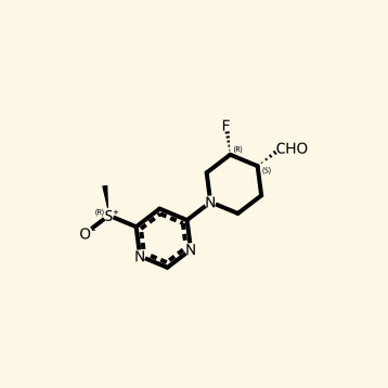 C[S@+]([O-])c1cc(N2CC[C@@H](C=O)[C@@H](F)C2)ncn1